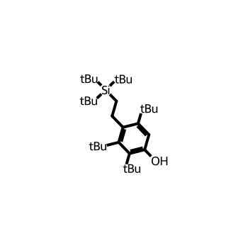 CC(C)(C)c1cc(O)c(C(C)(C)C)c(C(C)(C)C)c1CC[Si](C(C)(C)C)(C(C)(C)C)C(C)(C)C